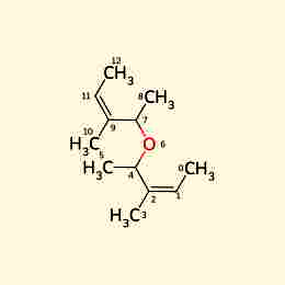 C/C=C(/C)C(C)OC(C)/C(C)=C\C